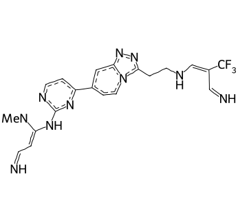 CN/C(=C\C=N)Nc1nccc(-c2ccn3c(CCN/C=C(\C=N)C(F)(F)F)nnc3c2)n1